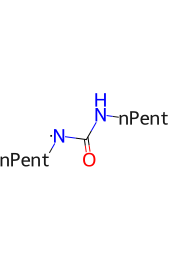 CCCCC[N]C(=O)NCCCCC